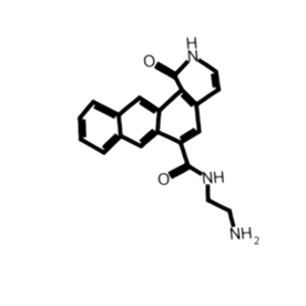 NCCNC(=O)c1cc2cc[nH]c(=O)c2c2cc3ccccc3cc12